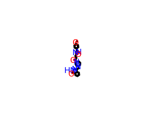 COc1ccc(-c2noc(CCC(=O)N3CCCN(Cc4n[nH]c(=O)c5ccccc45)CC3)n2)cc1